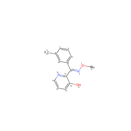 CC(C)(C)O/N=C(\c1cccc(C(F)(F)F)c1)c1ncccc1O